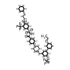 CCOc1cccc(-c2cc(CN3CCN(c4ccc(C(=O)NS(=O)(=O)c5ccc(NCCSc6ccccc6)c(C(F)(F)F)c5)cc4)CC3)cc(OC(F)(F)F)c2)c1